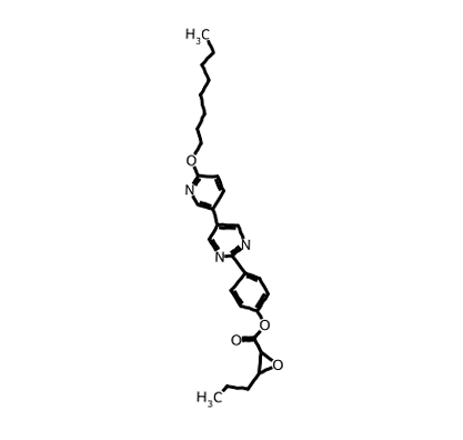 CCCCCCCCOc1ccc(-c2cnc(-c3ccc(OC(=O)C4OC4CCC)cc3)nc2)cn1